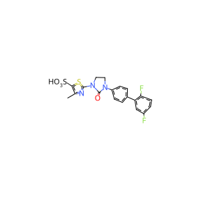 Cc1nc(N2CCN(c3ccc(-c4cc(F)ccc4F)cc3)C2=O)sc1S(=O)(=O)O